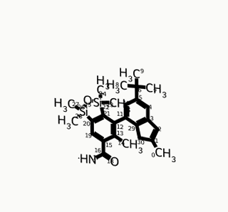 CC1=Cc2cc(C(C)(C)C)cc(-c3c(C)c(C([NH])=O)cc4c3[Si](C)(C)O[Si]4(C)C)c2C1